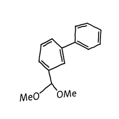 COC(OC)c1cccc(-c2ccccc2)c1